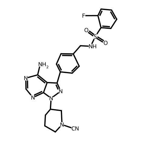 N#CN1CCCC(n2nc(-c3ccc(CNS(=O)(=O)c4ccccc4F)cc3)c3c(N)ncnc32)C1